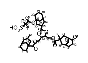 CC1CC2CCCC(C(=O)OCC3OC(C4CC5CCCC(OC(=O)C(F)(F)S(=O)(=O)O)(C5)C4)OC3COC(=O)C3(C)CC4CCC(=O)C(C4)C3)(C1)C2